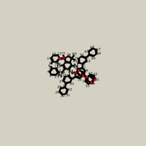 Cc1cccc(C)c1B(c1c(C)cccc1C)c1c(C#N)c(-n2c3ccc(-c4ccccc4)cc3c3cc(-c4ccccc4)ccc32)c(-n2c3ccc(-c4ccccc4)cc3c3cc(-c4ccccc4)ccc32)c2c1C(C)(C)CC2(C)C